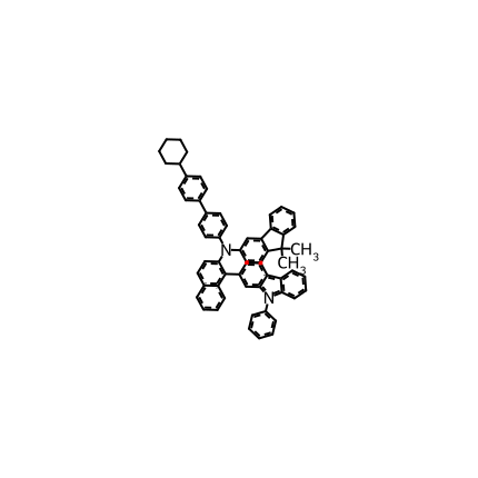 CC1(C)c2ccccc2-c2cc(N(c3ccc(-c4ccc(C5CCCCC5)cc4)cc3)c3ccc4ccccc4c3-c3ccc4c5ccccc5n(-c5ccccc5)c4c3)ccc21